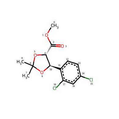 COC(=O)[C@H]1OC(C)(C)O[C@@H]1c1ccc(Cl)cc1Cl